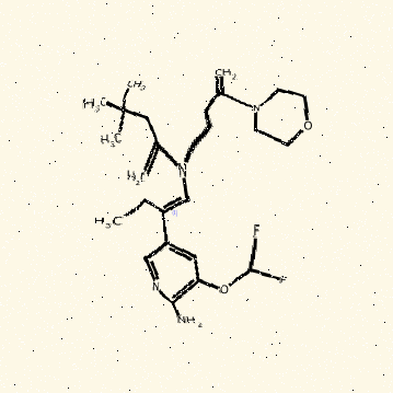 C=C(CC(C)(C)C)N(/C=C(\CC)c1cnc(N)c(OC(F)F)c1)CCC(=C)N1CCOCC1